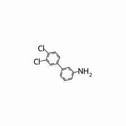 Nc1cccc(-c2ccc(Cl)c(Cl)c2)c1